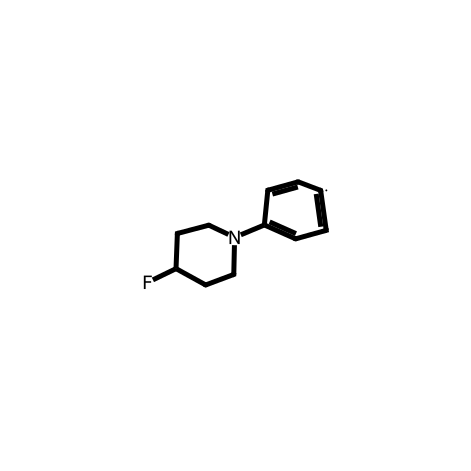 FC1CCN(c2cc[c]cc2)CC1